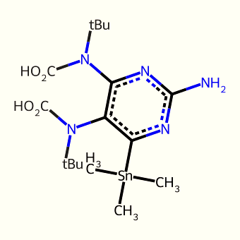 CC(C)(C)N(C(=O)O)c1nc(N)n[c]([Sn]([CH3])([CH3])[CH3])c1N(C(=O)O)C(C)(C)C